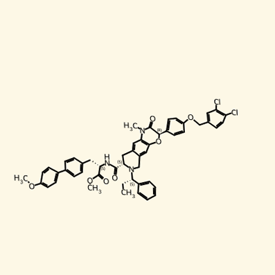 CC[C@@H](c1ccccc1)N1Cc2cc3c(cc2C[C@H]1C(=O)N[C@@H](Cc1ccc(-c2ccc(OC)cc2)cc1)C(=O)OC)N(C)C(=O)[C@@H](c1ccc(OCc2ccc(Cl)c(Cl)c2)cc1)O3